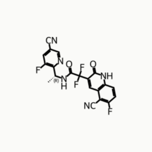 C[C@@H](NC(=O)C(F)(F)c1cc2c(C#N)c(F)ccc2[nH]c1=O)c1ncc(C#N)cc1F